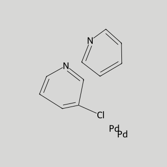 Clc1cccnc1.[Pd].[Pd].c1ccncc1